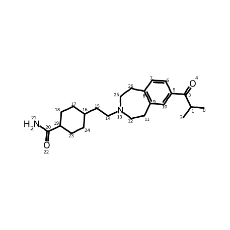 CC(C)C(=O)c1ccc2c(c1)CCN(CCC1CCC(C(N)=O)CC1)CC2